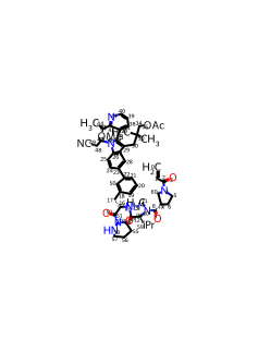 C=CC(=O)N1CC[C@H](C(=O)N(C)[C@H](C(=O)N[C@@H](Cc2cccc(-c3ccc4c(c3)c(CC(C)(C)COC(C)=O)c(-c3cccnc3[C@H](C)OC)n4CCC#N)c2)C(=O)N2CCCCN2)C(C)C)C1